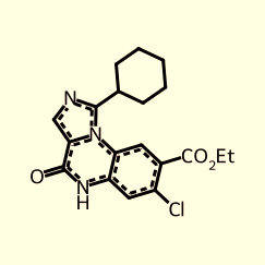 CCOC(=O)c1cc2c(cc1Cl)[nH]c(=O)c1cnc(C3CCCCC3)n12